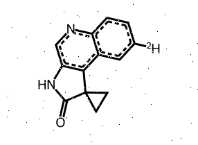 [2H]c1ccc2ncc3c(c2c1)C1(CC1)C(=O)N3